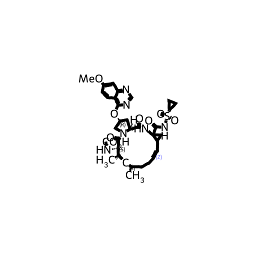 COc1ccc2c(O[C@@H]3C[C@H]4C(=O)NC5(C(=O)NS(=O)(=O)C6CC6)CC5/C=C\CC[C@@H](C)C[C@@H](C)[C@H](NC(=O)O)C(=O)N4C3)ncnc2c1